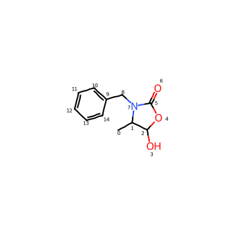 CC1C(O)OC(=O)N1Cc1ccccc1